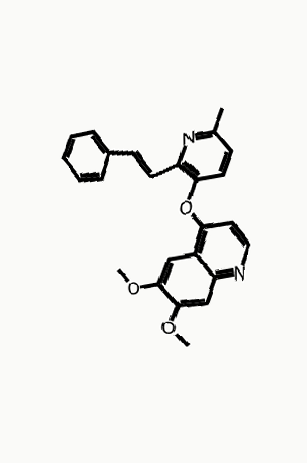 COc1cc2nccc(Oc3ccc(C)nc3C=Cc3ccccc3)c2cc1OC